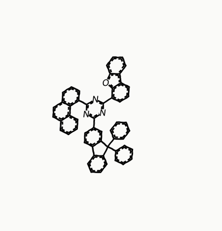 c1ccc(C2(c3ccccc3)c3ccccc3-c3ccc(-c4nc(-c5cccc6c5oc5ccccc56)nc(-c5cccc6ccc7ccccc7c56)n4)cc32)cc1